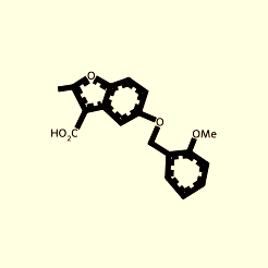 COc1ccccc1COc1ccc2oc(C)c(C(=O)O)c2c1